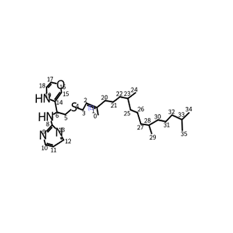 C/C(=C\CSCC(Nc1ncccn1)C1=COC=CN1)CCCC(C)CCCC(C)CCCC(C)C